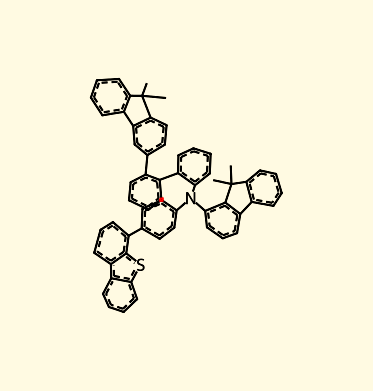 CC1(C)c2ccccc2-c2cc(-c3ccccc3-c3ccccc3N(c3ccc(-c4cccc5c4sc4ccccc45)cc3)c3cccc4c3C(C)(C)c3ccccc3-4)ccc21